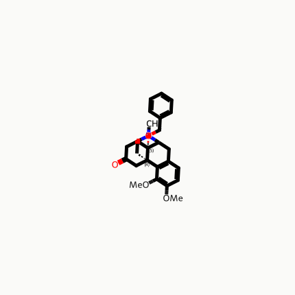 COc1ccc2c(c1OC)[C@]13CCN(C)C(C2)[C@]1(OCc1ccccc1)CCC(=O)C3